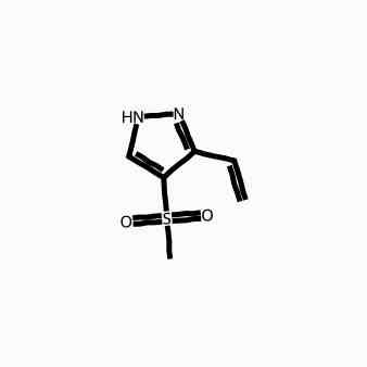 C=Cc1n[nH]cc1S(C)(=O)=O